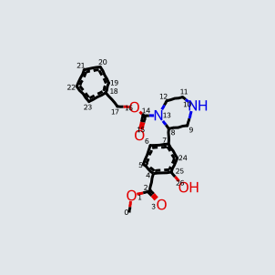 COC(=O)c1ccc(C2CNCCN2C(=O)OCc2ccccc2)cc1O